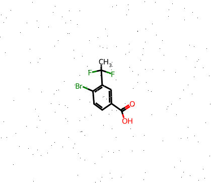 CC(F)(F)c1cc(C(=O)O)ccc1Br